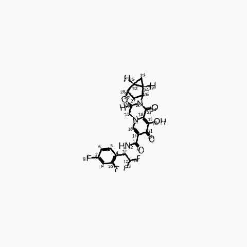 O=C(N[C@@H](c1ccc(F)cc1F)C(F)F)c1cn2c(c(O)c1=O)C(=O)N1C3CC(O[C@H]1C2)[C@@H]1C[C@H]31